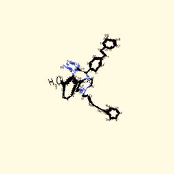 Cc1cccc(C)c1-n1nnnc1[C@@H](c1ccc(/C=C/c2ccccc2)cc1)N1CCN(C/C=C/c2ccccc2)CC1